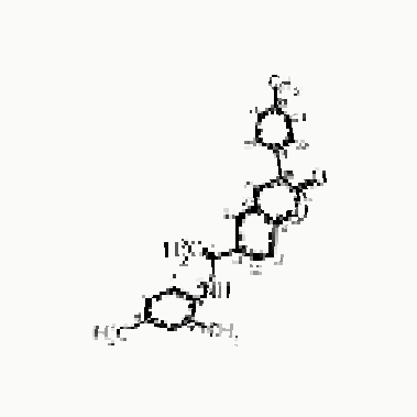 C=C(Nc1ccc(C)cc1C)c1ccc2oc(=O)c(-c3ccc(C)cc3)cc2c1